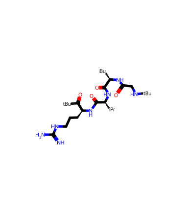 CCC(C)[C@@H](NC(=O)CNC(C)(C)C)C(=O)N[C@H](C(=O)N[C@@H](CCCNC(=N)N)C(=O)C(C)(C)C)C(C)C